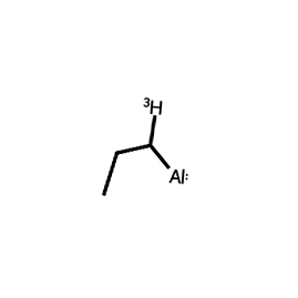 [3H][CH]([Al])CC